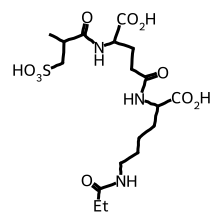 CCC(=O)NCCCCC(NC(=O)CCC(NC(=O)C(C)CS(=O)(=O)O)C(=O)O)C(=O)O